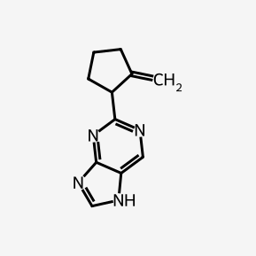 C=C1CCCC1c1ncc2[nH]cnc2n1